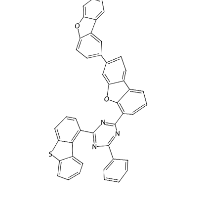 c1ccc(-c2nc(-c3cccc4c3oc3cc(-c5ccc6oc7ccccc7c6c5)ccc34)nc(-c3cccc4sc5ccccc5c34)n2)cc1